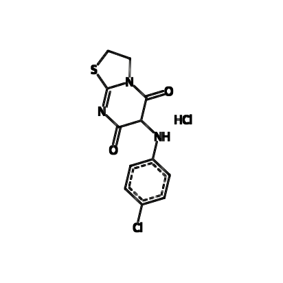 Cl.O=C1N=C2SCCN2C(=O)C1Nc1ccc(Cl)cc1